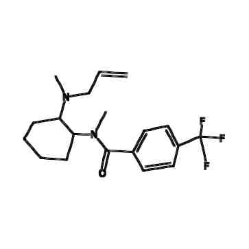 C=CCN(C)C1CCCCC1N(C)C(=O)c1ccc(C(F)(F)F)cc1